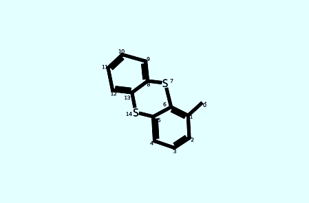 [CH2]c1cccc2c1Sc1ccccc1S2